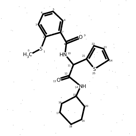 CSc1ccccc1C(=O)NC(C(=O)NC1CCCCC1)c1cccs1